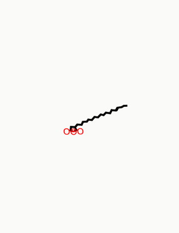 CCCC=CCCCCCCCCCCCCCC1CC(=O)OC1=O